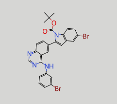 CC(C)(C)OC(=O)n1c(-c2ccc3ncnc(Nc4cccc(Br)c4)c3c2)cc2cc(Br)ccc21